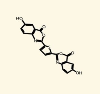 O=c1oc(-c2ccc(-c3nc4ccc(O)cc4c(=O)o3)s2)nc2ccc(O)cc12